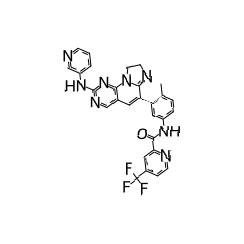 Cc1ccc(NC(=O)c2cc(C(F)(F)F)ccn2)cc1C1=Cc2cnc(Nc3cccnc3)nc2N2CCN=C12